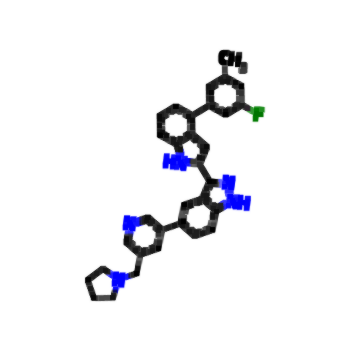 Cc1cc(F)cc(-c2cccc3[nH]c(-c4n[nH]c5ccc(-c6cncc(CN7CCCC7)c6)cc45)cc23)c1